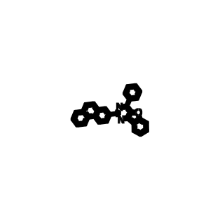 c1ccc(-c2nc(-c3ccc4c(ccc5ccccc54)c3)nc3c2oc2ccccc23)cc1